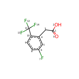 O=C(O)Cc1cc(F)ccc1C(F)(F)F